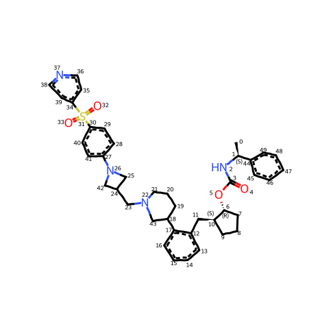 C[C@H](NC(=O)O[C@@H]1CCC[C@H]1Cc1ccccc1C1CCCN(CC2CN(c3ccc(S(=O)(=O)c4ccncc4)cc3)C2)C1)c1ccccc1